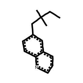 CCC(C)(C)Cc1ccc2ncccc2c1